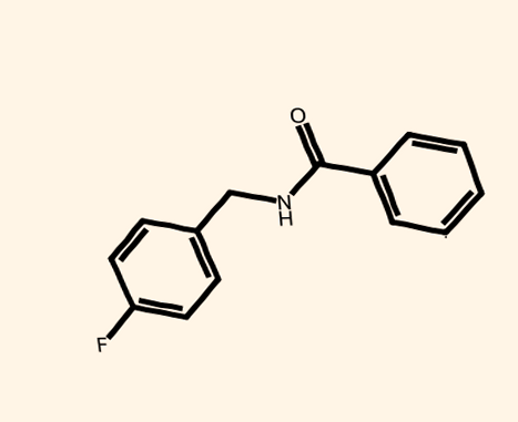 O=C(NCc1ccc(F)cc1)c1c[c]ccc1